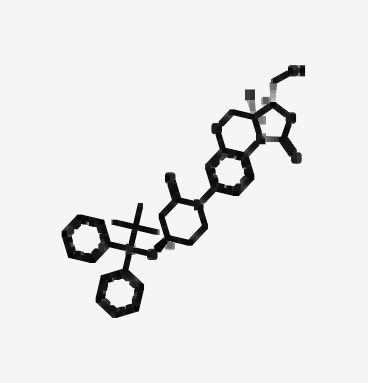 CC(C)(C)[Si](O[C@@H]1CCN(c2ccc3c(c2)OC[C@H]2[C@H](CO)OC(=O)N32)C(=O)C1)(c1ccccc1)c1ccccc1